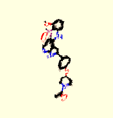 COc1cccc(Nc2ccnc3[nH]c(-c4ccc(OC5CCN(C(C)=O)CC5)cc4)cc23)c1P(C)(C)=O